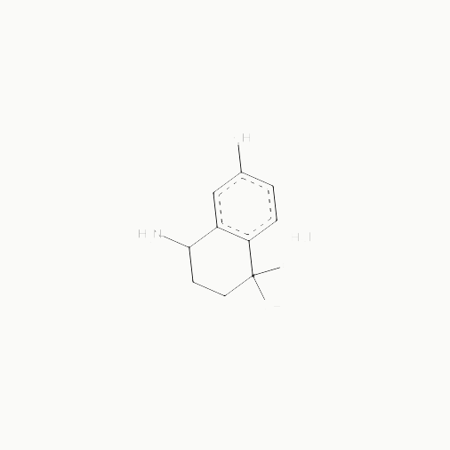 Cc1ccc2c(c1)C(N)CCC2(C)C.Cl